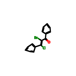 O=C(/C(Br)=C(\Cl)c1ccccc1)c1ccccc1